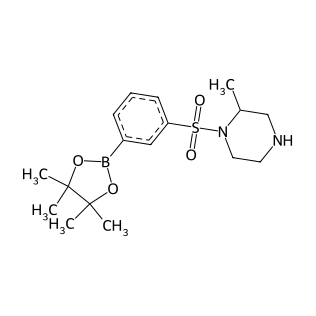 CC1CNCCN1S(=O)(=O)c1cccc(B2OC(C)(C)C(C)(C)O2)c1